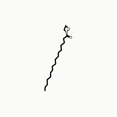 CCCCCCCCCCCCCCCCC(=O)N1CCO1